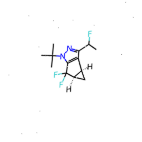 CC(F)c1nn(C(C)(C)C)c2c1[C@H]1C[C@H]1C2(F)F